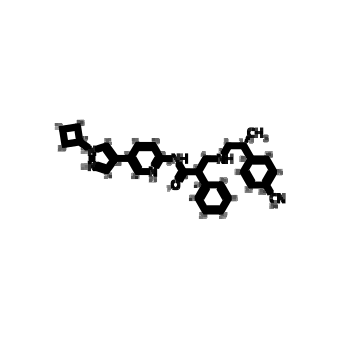 C[C@@H](CNCC(C(=O)Nc1ccc(-c2cnn(C3CCC3)c2)cn1)c1ccccc1)c1ccc(C#N)cc1